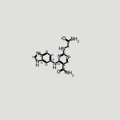 NC(=O)CNc1ncc(C(N)=O)c(Nc2ccc3nc[nH]c3c2)n1